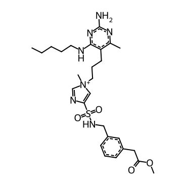 CCCCCNc1nc(N)nc(C)c1CCC[N+]1(C)C=NC(S(=O)(=O)NCc2cccc(CC(=O)OC)c2)=C1